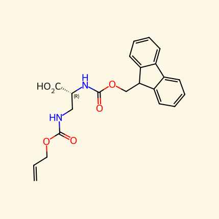 C=CCOC(=O)NC[C@@H](NC(=O)OCC1c2ccccc2-c2ccccc21)C(=O)O